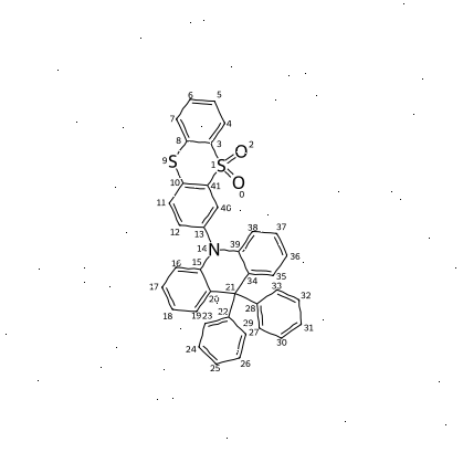 O=S1(=O)c2ccccc2Sc2ccc(N3c4ccccc4C(c4ccccc4)(c4ccccc4)c4ccccc43)cc21